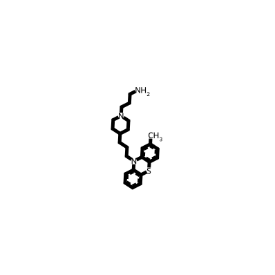 Cc1ccc2c(c1)N(CCCC1CCN(CCCN)CC1)c1ccccc1S2